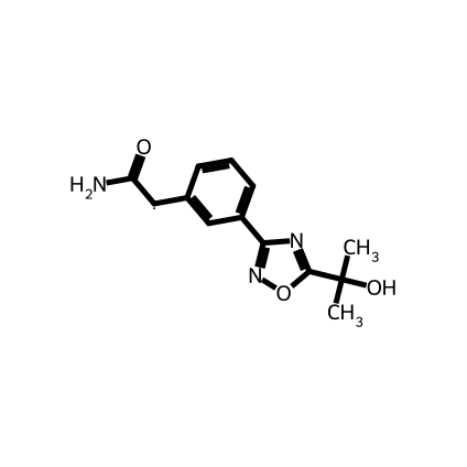 CC(C)(O)c1nc(-c2cccc([CH]C(N)=O)c2)no1